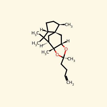 C=CCC[C@]1(C)O[C@H]2C[C@@]34C[C@H](C(C)(C)[C@@H]3CC[C@H]4C)[C@@]2(C)O1